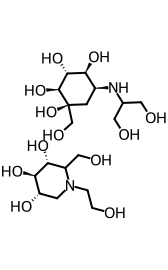 OCC(CO)N[C@H]1C[C@](O)(CO)[C@@H](O)[C@H](O)[C@H]1O.OCCN1C[C@H](O)[C@@H](O)[C@H](O)C1CO